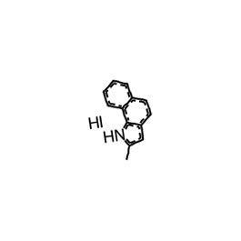 Cc1cc2ccc3ccccc3c2[nH]1.I